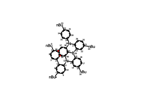 CCCCc1ccc(-c2cc(CCCC)ccc2N2c3cc(CCCC)ccc3B3c4cc(CCCC)ccc4N(c4ccc(CCCC)cc4)c4cccc2c43)cc1